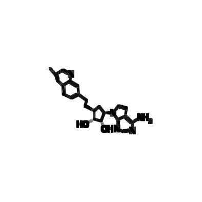 Cc1cnc2cc(CC[C@H]3C[C@@H](n4ccc5c(N)ncnc54)[C@H](O)[C@@H]3O)ccc2c1